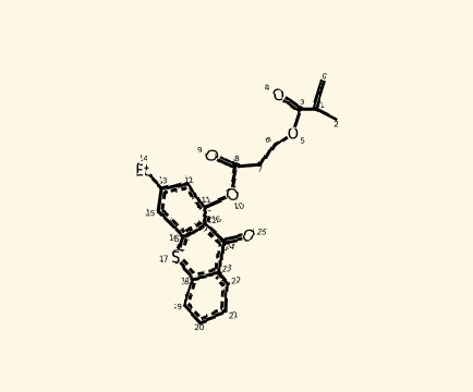 C=C(C)C(=O)OCCC(=O)Oc1cc(CC)cc2sc3ccccc3c(=O)c12